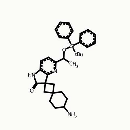 CC(O[Si](c1ccccc1)(c1ccccc1)C(C)(C)C)c1ccc2c(n1)C1(CC3(CCC(N)CC3)C1)C(=O)N2